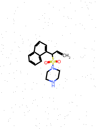 C=CC(c1cccc2ccccc12)S(=O)(=O)N1CCNCC1